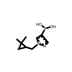 CC1(C)CC1Cn1cc(B(O)O)cn1